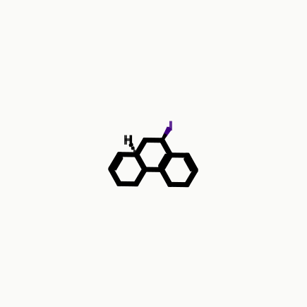 I[C@@H]1C[C@@H]2C=CCCC2C2=C1C=CCC2